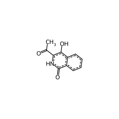 CC(=O)c1[nH]c(=O)c2ccccc2c1O